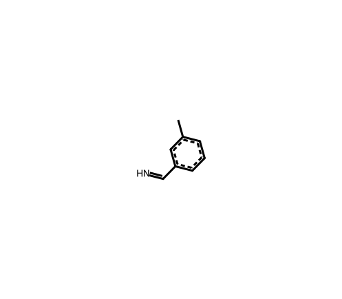 Cc1cccc(C=N)c1